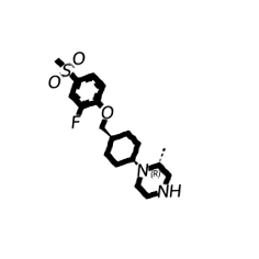 C[C@@H]1CNCCN1[C@H]1CC[C@H](COc2ccc(S(C)(=O)=O)cc2F)CC1